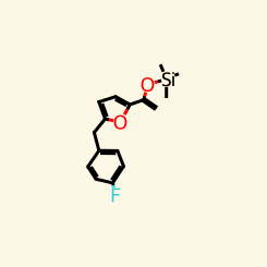 C=C(O[Si](C)(C)C)c1ccc(Cc2ccc(F)cc2)o1